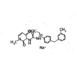 Cc1cccc(Cc2ccc([C@H](CC(=O)[O-])NC(=O)NC3C(=O)C=CN(C)C3=O)cc2)c1.[Na+]